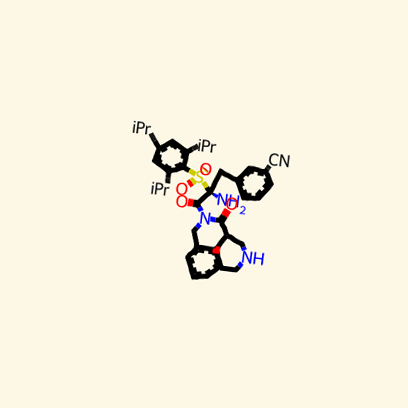 CC(C)c1cc(C(C)C)c(S(=O)(=O)[C@](N)(Cc2cccc(C#N)c2)C(=O)N(Cc2ccccc2)C(=O)C2CCCNC2)c(C(C)C)c1